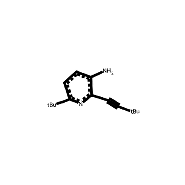 CC(C)(C)C#Cc1nc(C(C)(C)C)ccc1N